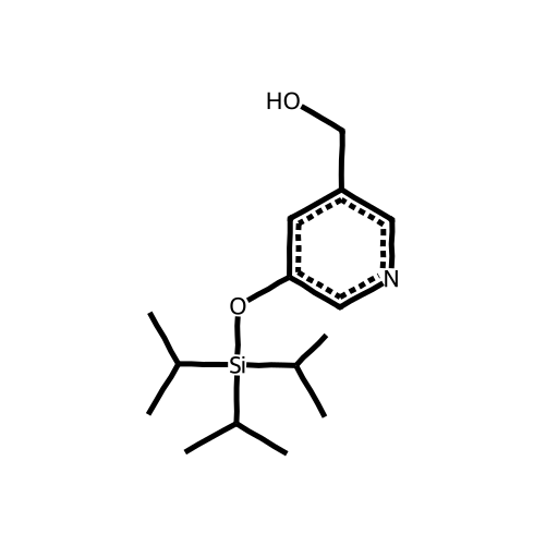 CC(C)[Si](Oc1cncc(CO)c1)(C(C)C)C(C)C